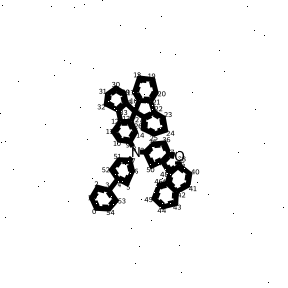 c1ccc(-c2ccc(N(c3ccc4c(c3)C3(c5ccccc5-c5ccccc53)c3ccccc3-4)c3ccc4oc5ccc6ccccc6c5c4c3)cc2)cc1